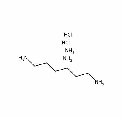 Cl.Cl.N.N.NCCCCCCN